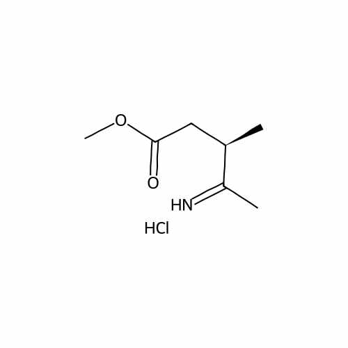 COC(=O)C[C@@H](C)C(C)=N.Cl